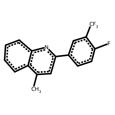 Cc1cc(-c2ccc(F)c(C(F)(F)F)c2)nc2ccccc12